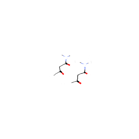 CCCCN(CCCC)C(=O)CC(=O)C(=O)[O-].CCCCN(CCCC)C(=O)CC(=O)C(=O)[O-].[Zn+2]